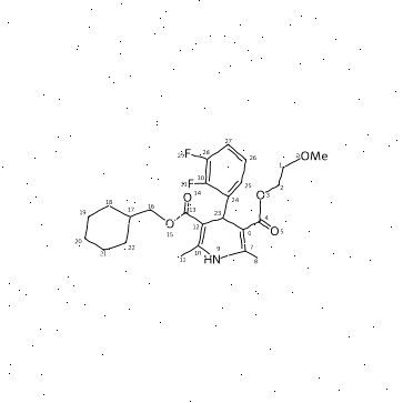 COCCOC(=O)C1=C(C)NC(C)=C(C(=O)OCC2CCCCC2)C1c1cccc(F)c1F